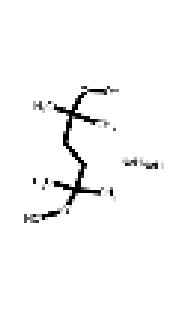 CC(C)(CCC(C)(C)OO)OO.[NaH].[NaH]